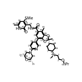 CCCOCCN(C)[C@H]1CC[C@H](C2(C)Oc3c(-c4ccc(N5C[C@@H](C)O[C@@H](C)C5)nc4)cc(C(=O)NCc4c(SC)cc(C)[nH]c4=O)c(C)c3O2)CC1